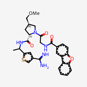 COC[C@@H]1C[C@@H](C(=O)NC(C)c2cc(C(=N)N)cs2)N(C(=O)CNC(=O)c2ccc3oc4ccccc4c3c2)C1